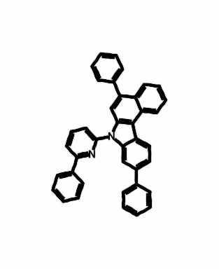 c1ccc(-c2ccc3c4c5ccccc5c(-c5ccccc5)cc4n(-c4cccc(-c5ccccc5)n4)c3c2)cc1